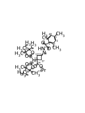 Cc1cc(C)c(S(=O)(=O)NN=C2CC(C(=O)OC(C)C)(C(B3OC(C)(C)C(C)(C)O3)B3OC(C)(C)C(C)(C)O3)C2)c(C)c1